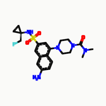 CN(C)C(=O)N1CCN(c2cc(S(=O)(=O)NC3(CF)CC3)cc3cc(N)ccc23)CC1